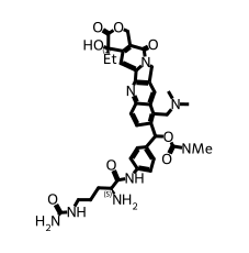 CC[C@@]1(O)C(=O)OCc2c1cc1n(c2=O)Cc2cc3c(CN(C)C)c(C(OC(=O)NC)c4ccc(NC(=O)[C@@H](N)CCCNC(N)=O)cc4)ccc3nc2-1